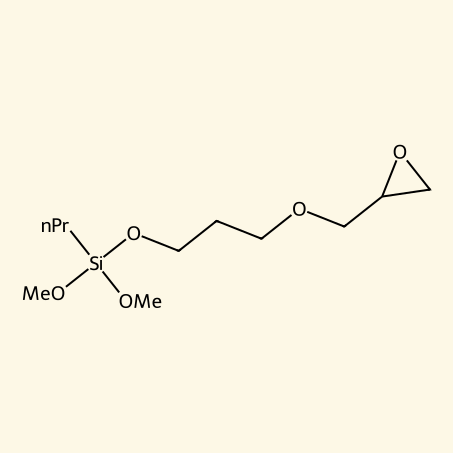 CCC[Si](OC)(OC)OCCCOCC1CO1